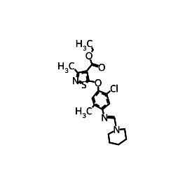 CCOC(=O)c1c(C)nsc1Oc1cc(C)c(N=CN2CCCCC2)cc1Cl